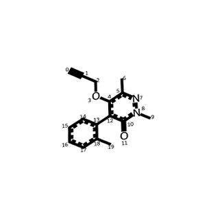 C#CCOc1c(C)nn(C)c(=O)c1-c1ccccc1C